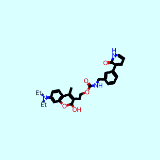 CCN(CC)c1ccc2c(c1)OC(O)C(CCOC(=O)NCc1cccc(-c3ccc[nH]c3=O)c1)=C2C